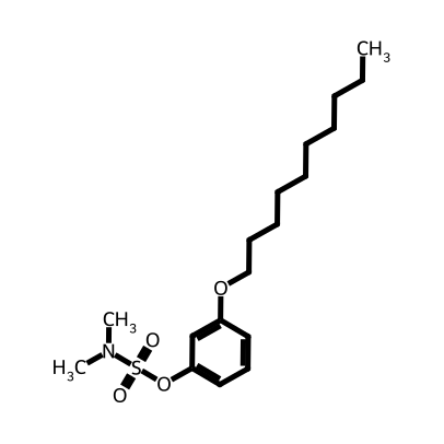 CCCCCCCCCCOc1cccc(OS(=O)(=O)N(C)C)c1